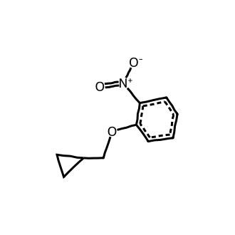 O=[N+]([O-])c1ccccc1OCC1CC1